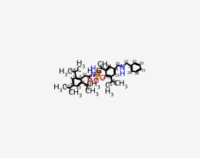 CC(C)c1cc(C(C)C)c(CC(=O)NS(=O)(=O)Oc2c(C(C)C)cc(CNCc3ccccc3)cc2C(C)C)c(C(C)C)c1